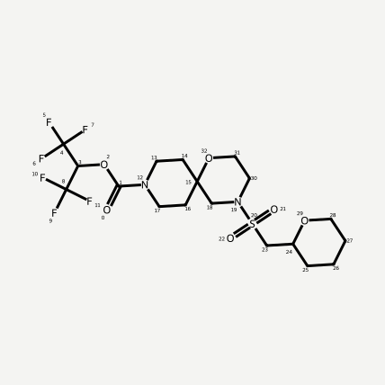 O=C(OC(C(F)(F)F)C(F)(F)F)N1CCC2(CC1)CN(S(=O)(=O)CC1CCCCO1)CCO2